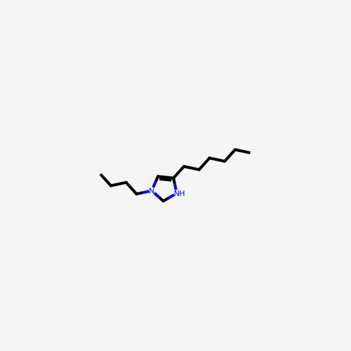 CCCCCCC1=CN(CCCC)CN1